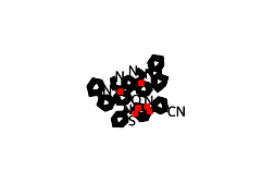 N#Cc1ccc2c(c1)c1ccccc1n2-c1cccc2c1Oc1c(N3c4ccccc4Sc4ccccc43)cccc1C21c2cc(-n3c4ccccc4c4ccccc43)cnc2-c2ncc(-n3c4ccccc4c4ccccc43)cc21